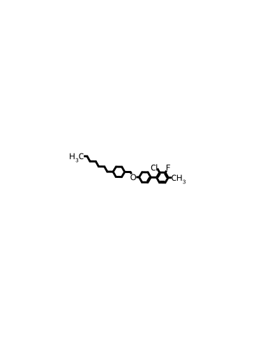 CCCCCCCC1CCC(COC2CC=C(c3ccc(C)c(F)c3Cl)CC2)CC1